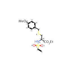 C=CS(=O)(=O)N[C@@H](CSCc1ccc(OC)cc1)C(=O)OCC